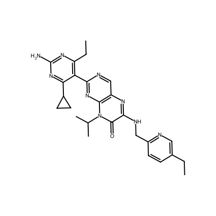 CCc1ccc(CNc2nc3cnc(-c4c(CC)nc(N)nc4C4CC4)nc3n(C(C)C)c2=O)nc1